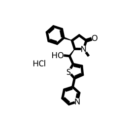 CN1C(=O)C[C@H](c2ccccc2)[C@@H]1C(O)c1ccc(-c2cccnc2)s1.Cl